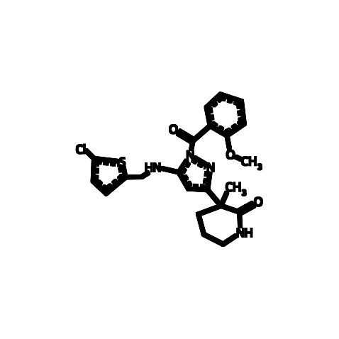 COc1ccccc1C(=O)n1nc(C2(C)CCCNC2=O)cc1NCc1ccc(Cl)s1